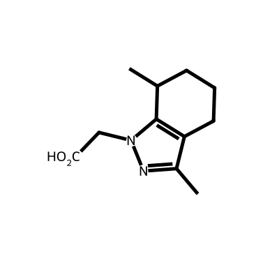 Cc1nn(CC(=O)O)c2c1CCCC2C